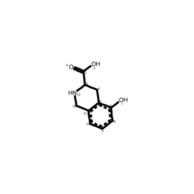 O=C(O)C1Cc2c(O)cccc2CN1